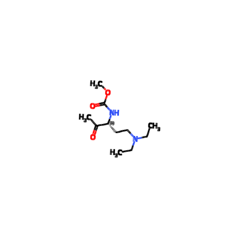 CCN(CC)CC[C@@H](NC(=O)OC)C(C)=O